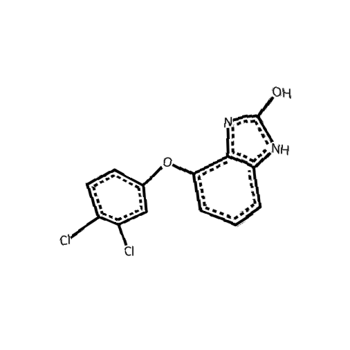 Oc1nc2c(Oc3ccc(Cl)c(Cl)c3)cccc2[nH]1